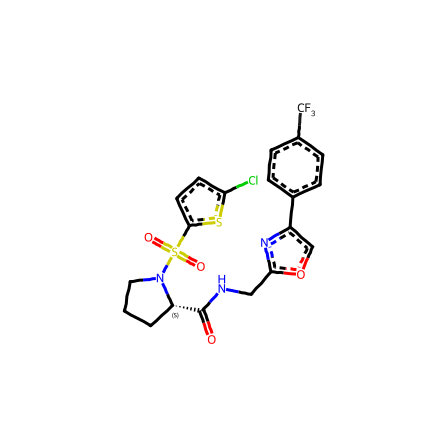 O=C(NCc1nc(-c2ccc(C(F)(F)F)cc2)co1)[C@@H]1CCCN1S(=O)(=O)c1ccc(Cl)s1